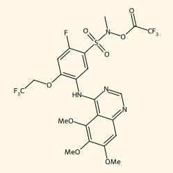 COc1cc2ncnc(Nc3cc(S(=O)(=O)N(C)OC(=O)C(F)(F)F)c(F)cc3OCC(F)(F)F)c2c(OC)c1OC